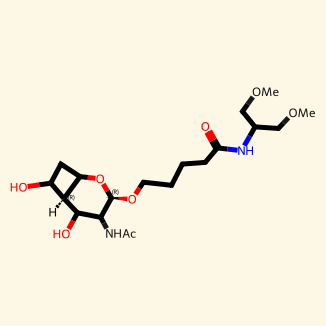 COCC(COC)NC(=O)CCCCO[C@@H]1OC2CC(O)[C@@H]2C(O)C1NC(C)=O